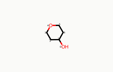 OC1[CH]COCC1